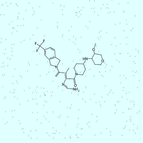 C=C(/C(C)=C(\N=C/N)C(=O)N1CCC(NC2CCOCC2OC)CC1)N1Cc2ccc(C(F)(F)F)cc2C1